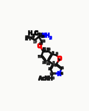 CC(=O)Nc1cc2c(cn1)OCc1cc(OC[C@](C)(N)CC(C)C)ccc1-2